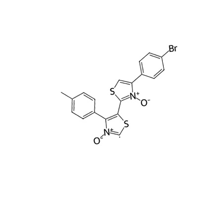 Cc1ccc(-c2c(-c3scc(-c4ccc(Br)cc4)[n+]3[O-])s[c][n+]2[O-])cc1